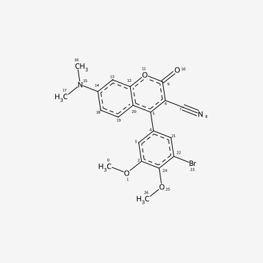 COc1cc(-c2c(C#N)c(=O)oc3cc(N(C)C)ccc23)cc(Br)c1OC